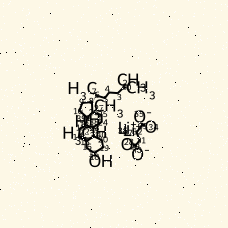 CC(C)CCCC(C)[C@H]1CC[C@H]2[C@@H]3CC=C4C[C@@H](O)CC[C@]4(C)[C@H]3CC[C@]12C.O=C([O-])CCC(=O)[O-].[Li+].[Li+]